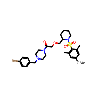 COc1cc(C)c(S(=O)(=O)N2CCCCC2COCC(=O)N2CCN(Cc3ccc(Br)cc3)CC2)c(C)c1